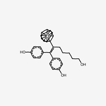 OCCCCCC(=C(c1ccc(O)cc1)c1ccc(O)cc1)[C]12[CH]3[CH]4[CH]5[CH]1[Fe]45321678[CH]2[CH]1[CH]6[CH]7[CH]28